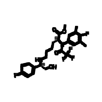 COC(=O)[C@@H](CCCCN[C@H](CO)c1ccc(F)cc1)N(C(=O)C(F)(F)F)c1cc(C)c(F)c(C)c1